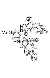 COc1cc(NC(=O)c2cc(N3CCN(C)CC3)cc(C(F)(F)F)c2)cc(Nc2ccc3c(c2)NC(=O)C3=Cc2cc(C#N)c[nH]2)c1